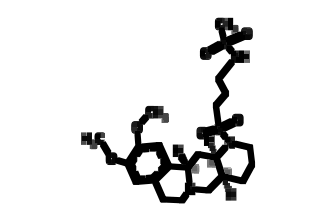 COc1cc2c(cc1OC)[C@@H]1C[C@@H]3[C@@H](CCCN3S(=O)(=O)CCCNS(C)(=O)=O)CN1CC2